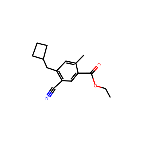 CCOC(=O)c1cc(C#N)c(CC2CCC2)cc1C